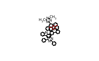 Cc1nc(C)nc(-c2ccc3c(c2)c2ccccc2n3-c2c(-c3ccccc3-n3c4ccccc4c4ccccc43)cc(-c3nc(-c4ccccc4)nc(-c4ccccc4)n3)cc2-c2ccccc2-n2c3ccccc3c3ccccc32)n1